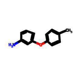 Cc1ccc(Oc2cccc(N)c2)cc1